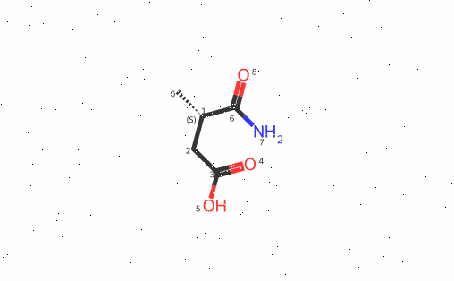 C[C@@H](CC(=O)O)C(N)=O